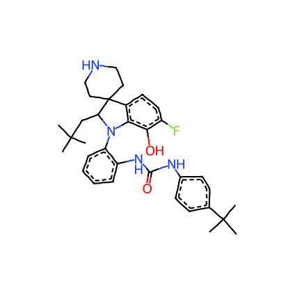 CC(C)(C)CC1N(c2ccccc2NC(=O)Nc2ccc(C(C)(C)C)cc2)c2c(ccc(F)c2O)C12CCNCC2